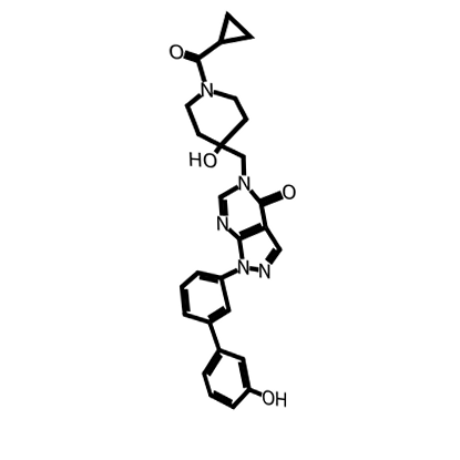 O=C(C1CC1)N1CCC(O)(Cn2cnc3c(cnn3-c3cccc(-c4cccc(O)c4)c3)c2=O)CC1